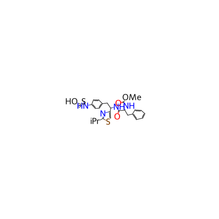 COC(=O)NC(Cc1ccccc1)C(=O)NC(Cc1ccc(NS(=O)(=O)O)cc1)c1csc(C(C)C)n1